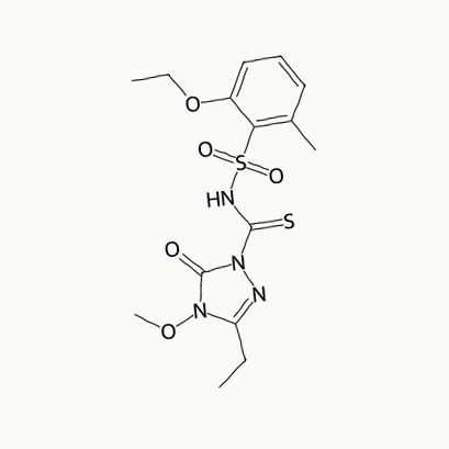 CCOc1cccc(C)c1S(=O)(=O)NC(=S)n1nc(CC)n(OC)c1=O